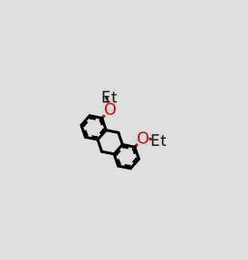 CCOc1cccc2c1Cc1c(cccc1OCC)C2